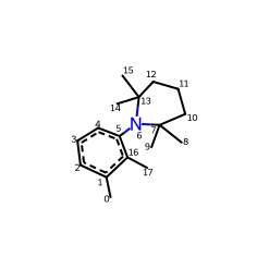 Cc1cccc(N2C(C)(C)CCCC2(C)C)c1C